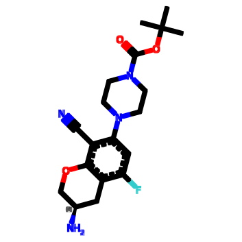 CC(C)(C)OC(=O)N1CCN(c2cc(F)c3c(c2C#N)OC[C@H](N)C3)CC1